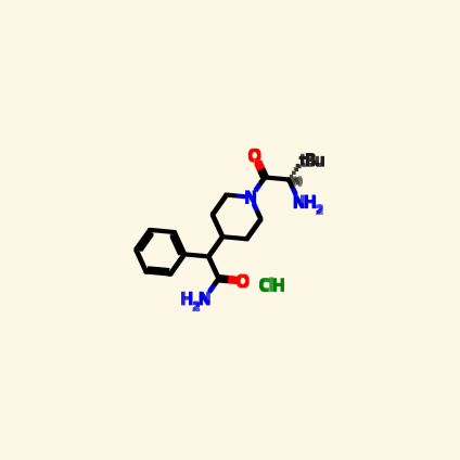 CC(C)(C)[C@H](N)C(=O)N1CCC(C(C(N)=O)c2ccccc2)CC1.Cl